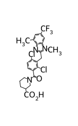 Cc1cc(C(F)(F)F)cc2c1nc(Cc1c(Cl)ccc(C(=O)N3CCCC(C(=O)O)C3)c1Cl)n2C